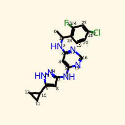 CC(Nc1cc(Nc2cc(C3CC3)[nH]n2)ncn1)c1ccc(Cl)cc1F